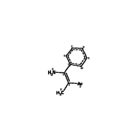 CC(=O)/C(C)=C(/N)c1ccccc1